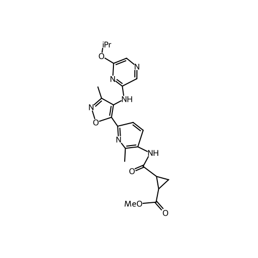 COC(=O)C1CC1C(=O)Nc1ccc(-c2onc(C)c2Nc2cncc(OC(C)C)n2)nc1C